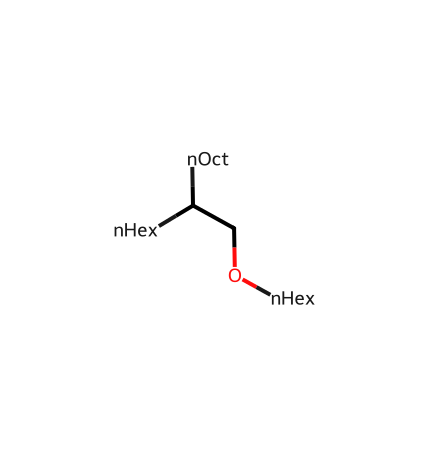 CCCCCCCCC(CCCCCC)COCCCCCC